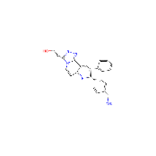 NCc1ccc(-c2nc3ccn4c(CCO)nnc4c3cc2-c2ccccc2)cc1